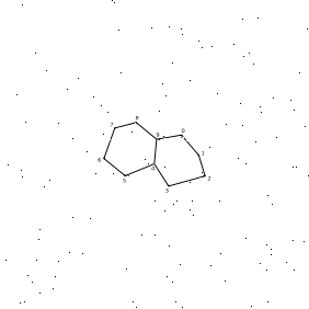 [CH]1CCCC2[CH]CCCC12